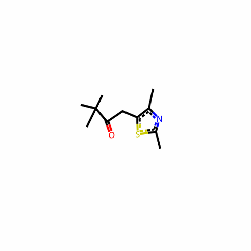 Cc1nc(C)c(CC(=O)C(C)(C)C)s1